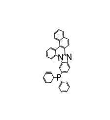 C1#CC(P(c2ccccc2)c2ccc3nc4c5ccc6ccccc6c5c5ccccc5n4c3c2)CC=C1